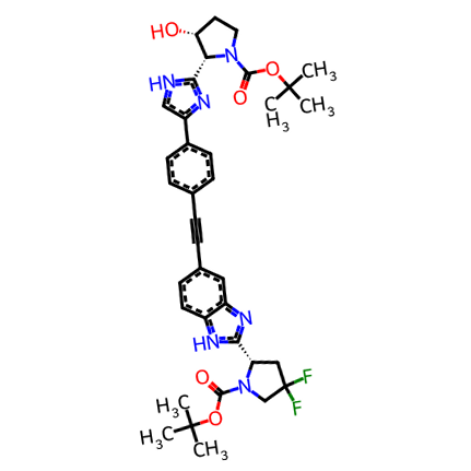 CC(C)(C)OC(=O)N1CC[C@@H](O)[C@H]1c1nc(-c2ccc(C#Cc3ccc4[nH]c([C@@H]5CC(F)(F)CN5C(=O)OC(C)(C)C)nc4c3)cc2)c[nH]1